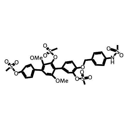 COc1cc(-c2ccc(OS(C)(=O)=O)cc2)c(OC)c(OS(C)(=O)=O)c1-c1ccc(OCc2ccc(NS(C)(=O)=O)cc2)c(OS(C)(=O)=O)c1